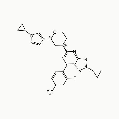 Fc1cc(C(F)(F)F)ccc1-c1nc([C@@H]2CCO[C@@H](c3cnn(C4CC4)c3)C2)nc2nc(C3CC3)sc12